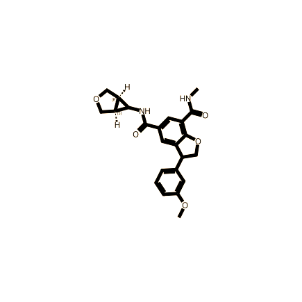 CNC(=O)c1cc(C(=O)NC2[C@H]3COC[C@@H]23)cc2c1OCC2c1cccc(OC)c1